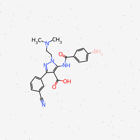 Bc1ccc(C(=O)Nc2c(C(=O)O)c(-c3cccc(C#N)c3)nn2CCN(C)C)cc1